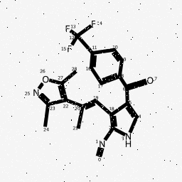 C=Nc1[nH]cc(C(=O)c2ccc(C(F)(F)F)cc2)c1/C=C(\C)c1c(C)noc1C